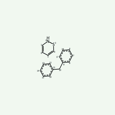 C1=CNSC=C1.c1ccc(Cc2ccccc2)cc1